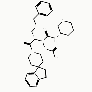 O=C([C@@H](COCc1ccccc1)N(OC(=O)C(F)(F)F)C(=O)N[C@@H]1CCCNC1)N1CCC2(CCc3ccccc32)CC1